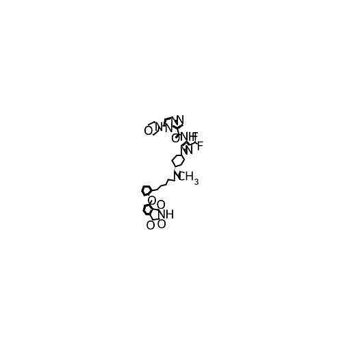 CN(CCCCCc1ccccc1Oc1cccc2c1C(=O)NC(=O)C2=O)C[C@H]1CC[C@H](n2cc(NC(=O)c3cnn4ccc(N5CCOCC5)nc34)c(C(F)F)n2)CC1